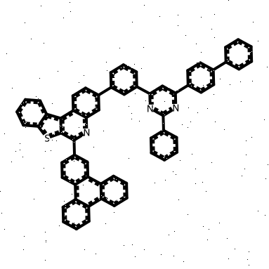 c1ccc(-c2ccc(-c3cc(-c4cccc(-c5ccc6c(c5)nc(-c5ccc7c8ccccc8c8ccccc8c7c5)c5sc7ccccc7c56)c4)nc(-c4ccccc4)n3)cc2)cc1